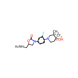 CC(=O)NCC1CN(c2ccc(N3CC[C@@](O)(C(F)(F)F)[C@H](C)C3)c(F)c2)C(=O)O1